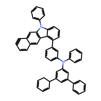 c1ccc2cc3c4c(-c5cccc(N(c6ccccc6)c6cc(-c7ccccc7)cc(C7C=CC=CC7)c6)c5)cccc4n(-c4ccccc4)c3cc2c#1